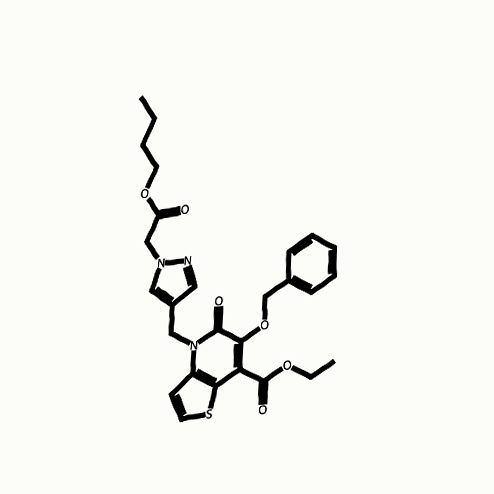 CCCCOC(=O)Cn1cc(Cn2c(=O)c(OCc3ccccc3)c(C(=O)OCC)c3sccc32)cn1